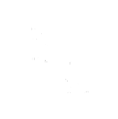 CN1C(=O)C2(CCN(C(=O)OC(C)(C)C)CC2)c2c(F)ccc(OCC(C)(C)O)c21